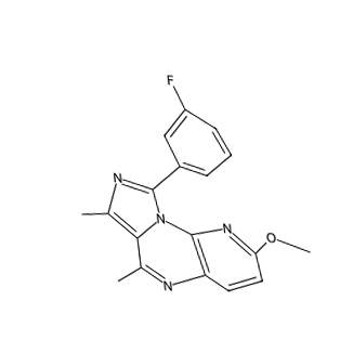 COc1ccc2nc(C)c3c(C)nc(-c4cccc(F)c4)n3c2n1